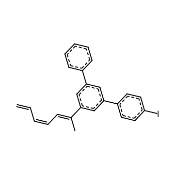 C=C/C=C\C=C(/C)c1cc(-c2ccccc2)cc(-c2ccc(I)cc2)c1